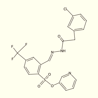 O=C(Cc1cccc(Cl)c1)NN=Cc1cc(C(F)(F)F)ccc1S(=O)(=O)Oc1cccnc1